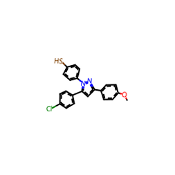 COc1ccc(-c2cc(-c3ccc(Cl)cc3)n(-c3ccc(S)cc3)n2)cc1